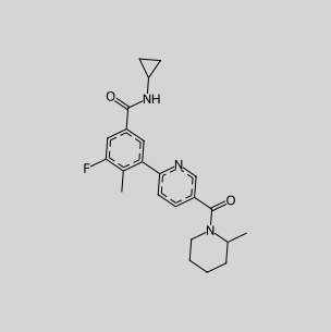 Cc1c(F)cc(C(=O)NC2CC2)cc1-c1ccc(C(=O)N2CCCCC2C)cn1